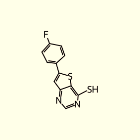 Fc1ccc(-c2cc3ncnc(S)c3s2)cc1